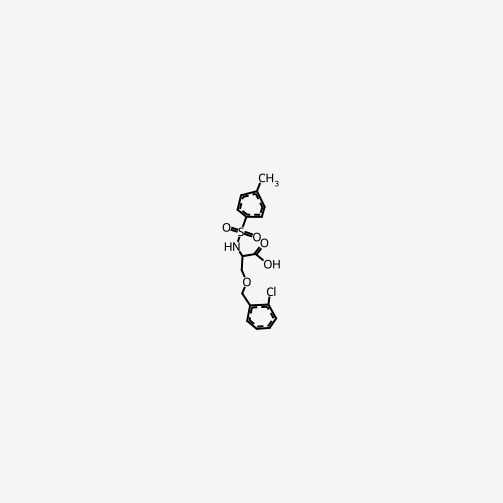 Cc1ccc(S(=O)(=O)NC(COCc2ccccc2Cl)C(=O)O)cc1